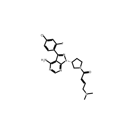 CN(C)CC=CC(=O)N1CC[C@@H](n2nc(-c3ccc(Cl)cc3F)c3c(N)ncnc32)C1